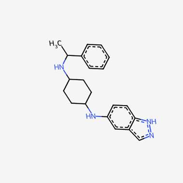 CC(NC1CCC(Nc2ccc3[nH]ncc3c2)CC1)c1ccccc1